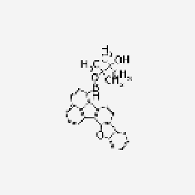 CC(C)(O)C(C)(C)OBc1ccc2cccc3c2c1-c1ccc2c(oc4ccccc42)c1-3